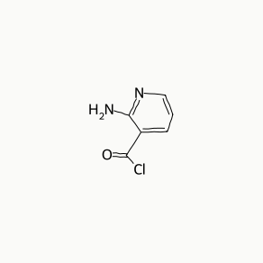 Nc1ncccc1C(=O)Cl